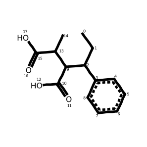 CCC(c1ccccc1)C(C(=O)O)C(C)C(=O)O